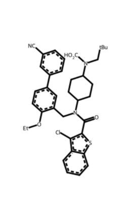 CCOc1ccc(-c2cccc(C#N)c2)cc1CN(C(=O)c1sc2ccccc2c1Cl)C1CCC(N(CC(C)(C)C)C(=O)O)CC1